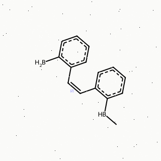 Bc1ccccc1/C=C\c1ccccc1BC